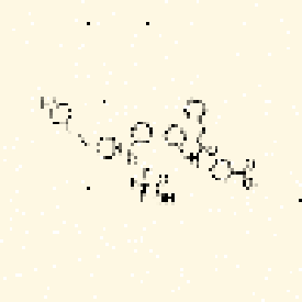 COC(=O)c1ccc(CN(Cc2cccc(-c3cccc(C(=O)N4CCC(CCCC5CCNCC5)CC4)c3)c2)C(=O)/C=C/c2ccccc2)cc1.O=C(O)C(F)(F)F